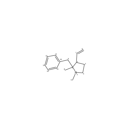 C=CC1CCN(C)C1(C)Cc1ccccc1